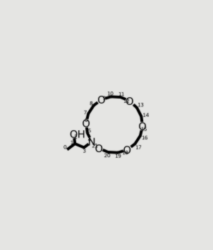 CC(O)CN1COCCOCCOCCOCCOCCO1